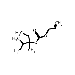 C=CCOC(=O)OC(C)(CC)C(C)C